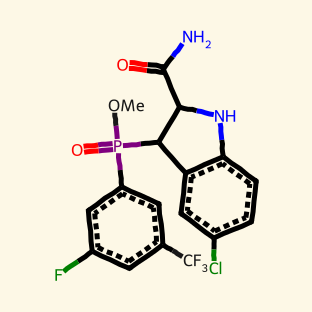 COP(=O)(c1cc(F)cc(C(F)(F)F)c1)C1c2cc(Cl)ccc2NC1C(N)=O